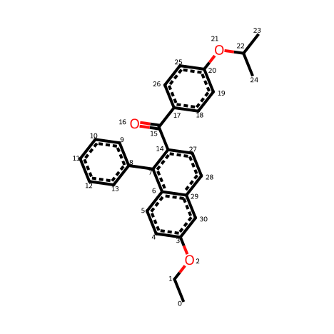 CCOc1ccc2c(-c3ccccc3)c(C(=O)c3ccc(OC(C)C)cc3)ccc2c1